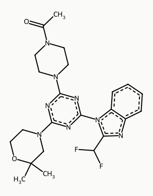 CC(=O)N1CCN(c2nc(N3CCOC(C)(C)C3)nc(-n3c(C(F)F)nc4ccccc43)n2)CC1